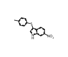 Cc1ccc(Sc2c[nH]c3cc([N+](=O)[O-])ccc23)cc1